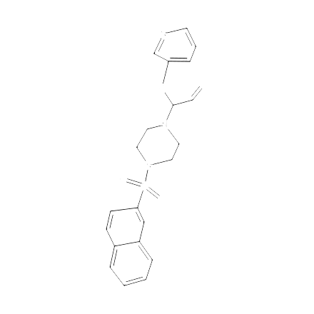 O=CC(Oc1cccnc1)N1CCN(S(=O)(=O)c2ccc3ccccc3c2)CC1